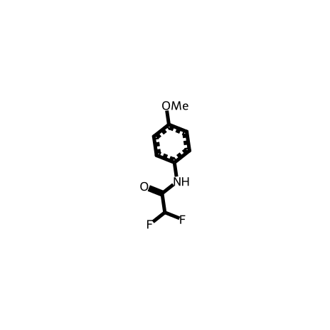 COc1ccc(NC(=O)C(F)F)cc1